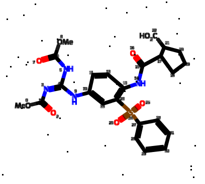 COC(=O)N=C(NC(=O)OC)Nc1ccc(NC(=O)C2CCCC2C(=O)O)c(S(=O)(=O)c2ccccc2)c1